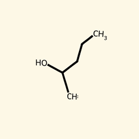 [CH]C(O)CCC